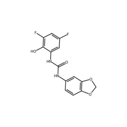 O=C(Nc1ccc2c(c1)OCO2)Nc1cc(F)cc(F)c1O